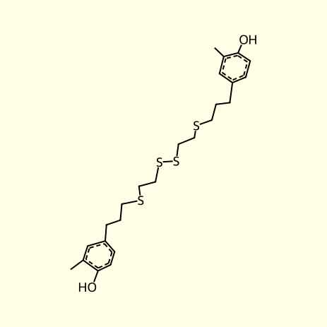 Cc1cc(CCCSCCSSCCSCCCc2ccc(O)c(C)c2)ccc1O